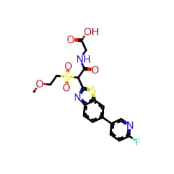 COCCS(=O)(=O)C(C(=O)NCC(=O)O)c1nc2ccc(-c3ccc(F)nc3)cc2s1